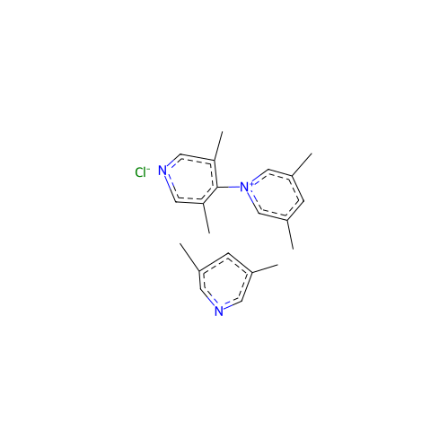 Cc1cc(C)c[n+](-c2c(C)cncc2C)c1.Cc1cncc(C)c1.[Cl-]